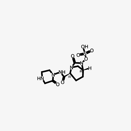 O=C(NN1CCNCC1=O)[C@@H]1CC[C@@H]2CN1C(=O)N2OS(=O)(=O)O